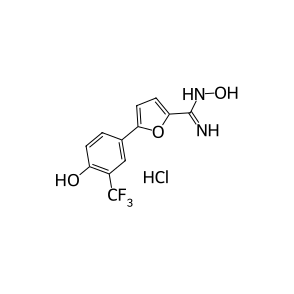 Cl.N=C(NO)c1ccc(-c2ccc(O)c(C(F)(F)F)c2)o1